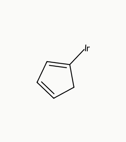 [Ir][C]1=CC=CC1